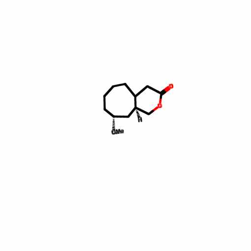 CO[C@@H]1CCCCC2CC(=O)OC[C@H]2C1